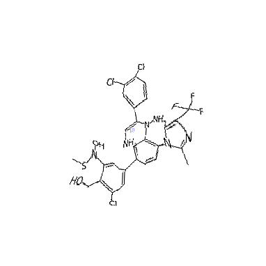 CSN(O)c1cc(-c2ccc(-n3cc(C(F)(F)F)nc3C)c(N(N)/C(=C\N)c3ccc(Cl)c(Cl)c3)c2)cc(Cl)c1CO